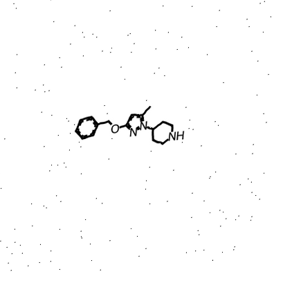 Cc1cc(OCc2ccccc2)nn1C1CCNCC1